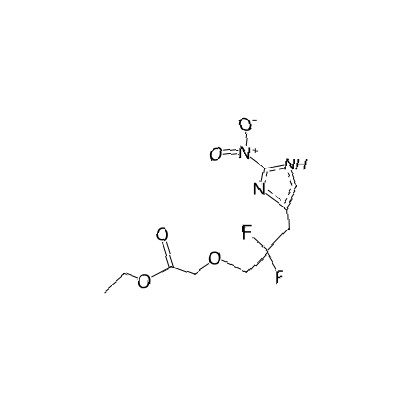 CCOC(=O)COCC(F)(F)Cc1c[nH]c([N+](=O)[O-])n1